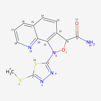 CSc1nnc(N2OC(C(N)=O)c3ccc4cccnc4c32)s1